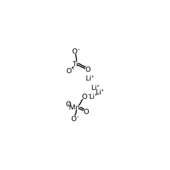 [Li+].[Li+].[Li+].[Li+].[O]=[Mn](=[O])([O-])[O-].[O]=[Ti]([O-])[O-]